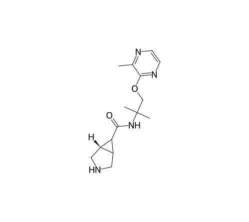 Cc1nccnc1OCC(C)(C)NC(=O)C1C2CNC[C@@H]21